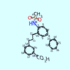 CS(=O)(=O)Nc1ccccc1CCCc1cccc(C(=O)O)c1.c1ccccc1